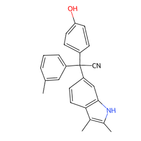 Cc1cccc(C(C#N)(c2ccc(O)cc2)c2ccc3c(C)c(C)[nH]c3c2)c1